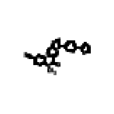 CN(C(=O)c1cn2c(-c3ccc(-c4ccco4)cc3)cnc2cn1)c1ccc(C#N)cc1